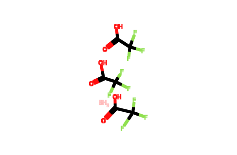 B.O=C(O)C(F)(F)F.O=C(O)C(F)(F)F.O=C(O)C(F)(F)F